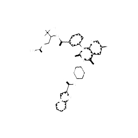 CC(C)(C)C(COC(N)=O)NC(=O)c1cccc(-n2c(=O)n([C@H]3CC[C@@H](NC(=O)c4cn5ccccc5n4)CC3)c(=O)c3cc(F)cnc32)c1